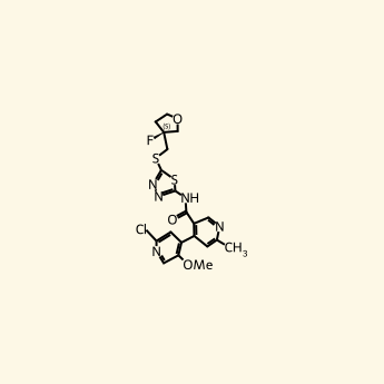 COc1cnc(Cl)cc1-c1cc(C)ncc1C(=O)Nc1nnc(SC[C@]2(F)CCOC2)s1